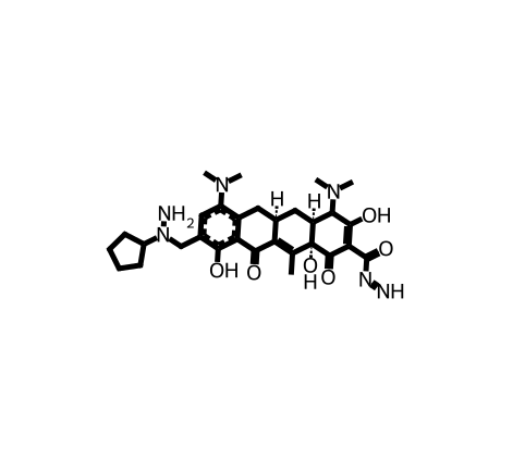 CC1=C2C(=O)c3c(O)c(CN(N)C4CCCC4)cc(N(C)C)c3C[C@H]2C[C@H]2C(N(C)C)C(O)=C(C(=O)N=N)C(=O)[C@@]12O